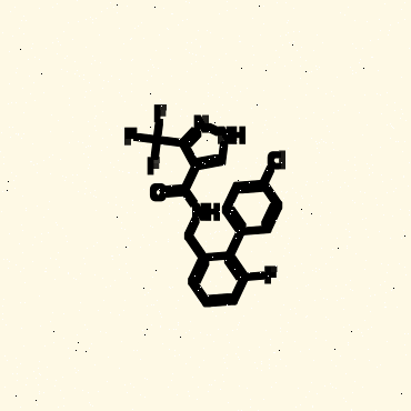 O=C(NCc1cccc(F)c1-c1ccc(Cl)cc1)c1c[nH]nc1C(F)(F)F